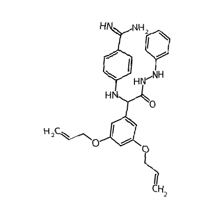 C=CCOc1cc(OCC=C)cc(C(Nc2ccc(C(=N)N)cc2)C(=O)NNc2ccccc2)c1